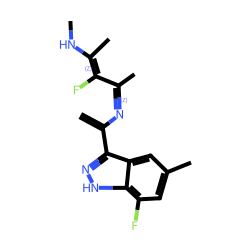 C=C(/N=C(C)\C(F)=C(/C)NC)c1n[nH]c2c(F)cc(C)cc12